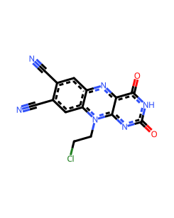 N#Cc1cc2nc3c(=O)[nH]c(=O)nc-3n(CCCl)c2cc1C#N